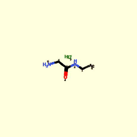 CC(=O)CNC(=O)CN.Cl